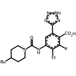 CCc1c(NC(=O)N2CCC(C(C)(C)C)CC2)cc(-c2nn[nH]n2)c(C(=O)O)c1F